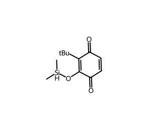 C[SiH](C)OC1=C(C(C)(C)C)C(=O)C=CC1=O